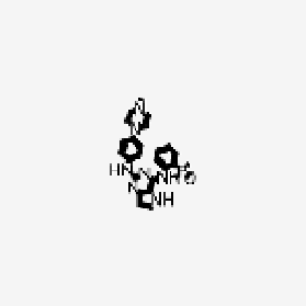 CN1CCN(c2ccc(Nc3nc(Nc4ccccc4P(C)(C)=O)c4[nH]ccc4n3)cc2)CC1